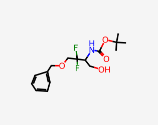 CC(C)(C)OC(=O)NC(CO)C(F)(F)COCc1ccccc1